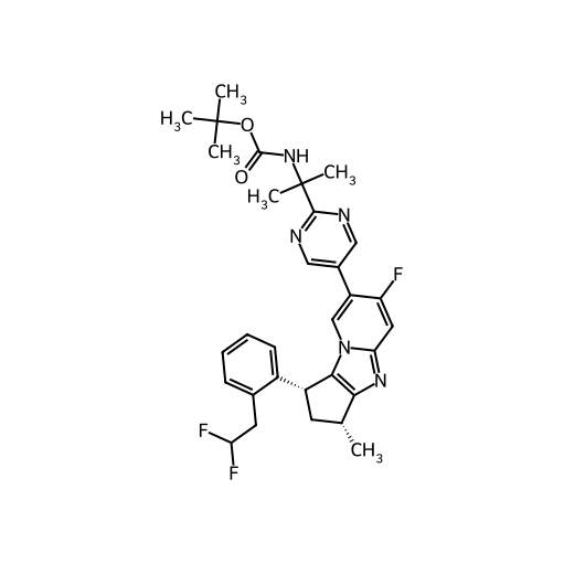 C[C@@H]1C[C@H](c2ccccc2CC(F)F)c2c1nc1cc(F)c(-c3cnc(C(C)(C)NC(=O)OC(C)(C)C)nc3)cn21